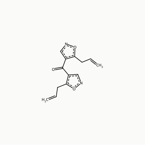 C=CCc1oncc1C(=O)c1cnoc1CC=C